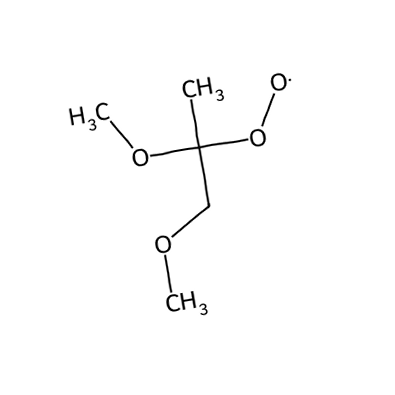 COCC(C)(OC)O[O]